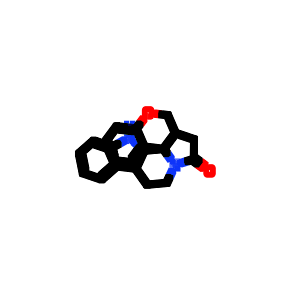 O=C1CC2COc3ccccc3C23c2[nH]c4ccccc4c2CCN13